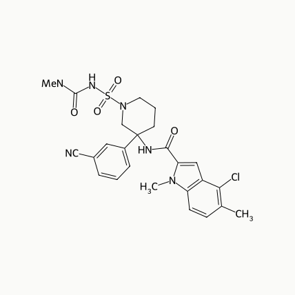 CNC(=O)NS(=O)(=O)N1CCCC(NC(=O)c2cc3c(Cl)c(C)ccc3n2C)(c2cccc(C#N)c2)C1